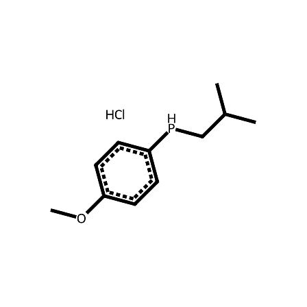 COc1ccc(PCC(C)C)cc1.Cl